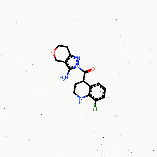 Nc1c2c(nn1C(=O)C1CCNc3c(Cl)cccc31)CCOC2